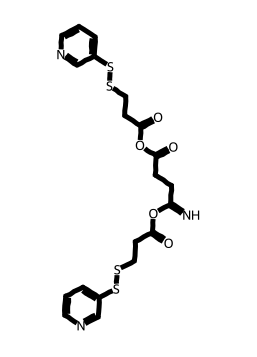 N=C(CCC(=O)OC(=O)CCSSc1cccnc1)OC(=O)CCSSc1cccnc1